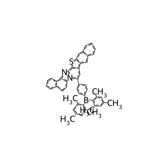 Cc1cc(C)c(B(c2ccc(-c3cc4c5cc6ccccc6cc5sc4c4nc5c6ccccc6ccc5n34)cc2)c2c(C)cc(C)cc2C)c(C)c1